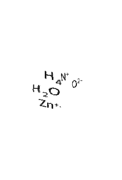 O.[NH4+].[O-2].[Zn+]